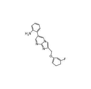 Nc1ccccc1-c1cnc2nc(COC3=CCCC(F)=C3)cn2c1